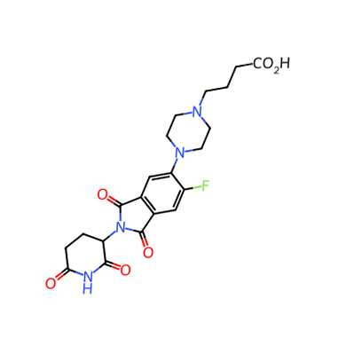 O=C(O)CCCN1CCN(c2cc3c(cc2F)C(=O)N(C2CCC(=O)NC2=O)C3=O)CC1